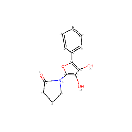 O=C1CCCN1c1oc(-c2ccccc2)c(O)c1O